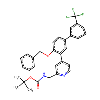 CC(C)(C)OC(=O)NCc1cc(-c2cc(-c3cccc(C(F)(F)F)c3)ccc2OCc2ccccc2)ccn1